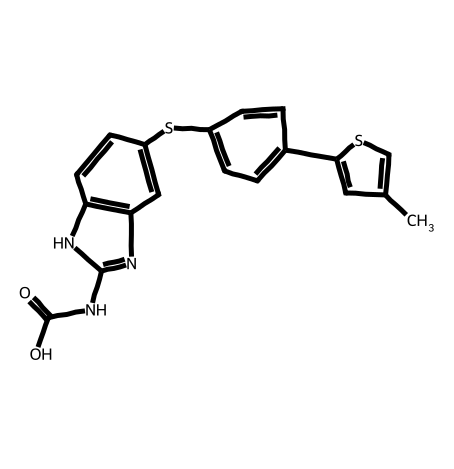 Cc1csc(-c2ccc(Sc3ccc4[nH]c(NC(=O)O)nc4c3)cc2)c1